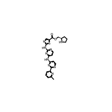 Cc1cccc(-c2nccc(Nc3ccnc(Nc4ncc(C(=O)OC[C@H]5CCCN5)s4)n3)n2)n1